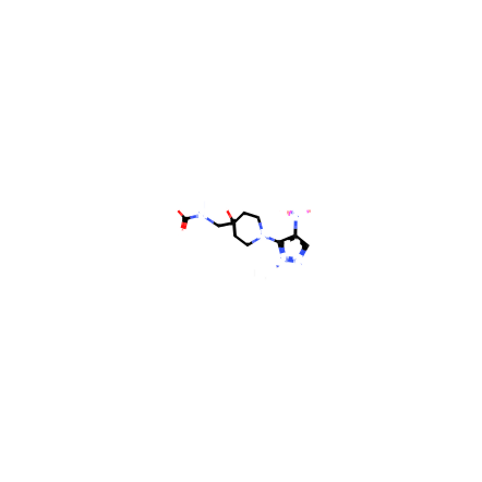 Cn1ncc([N+](=O)[O-])c1N1CCC(O)(CNC(=O)O)CC1